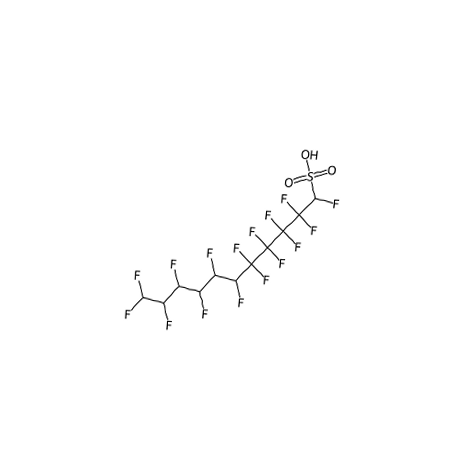 O=S(=O)(O)C(F)C(F)(F)C(F)(F)C(F)(F)C(F)(F)C(F)C(F)C(F)C(F)C(F)C(F)F